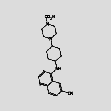 N#Cc1ccc2ncnc(NC3CCC(N4CCN(C(=O)O)CC4)CC3)c2c1